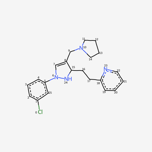 Clc1cccc(N2C=C(CN3CCCC3)C(CCc3ccccn3)N2)c1